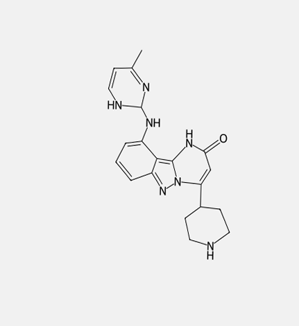 CC1=NC(Nc2cccc3nn4c(C5CCNCC5)cc(=O)[nH]c4c23)NC=C1